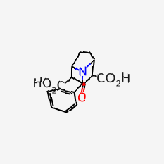 O=C(O)C1C(=O)C(C(=O)O)C2CCC1N2Cc1ccccc1